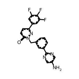 Nc1cnc(-c2cccc(Cn3nc(-c4cc(F)c(F)c(F)c4)ccc3=O)c2)nc1